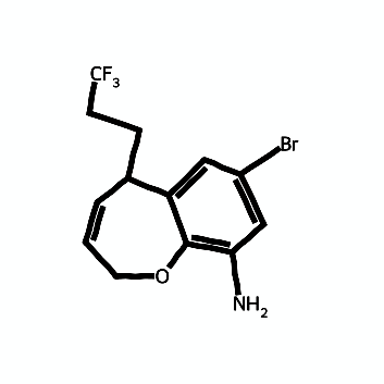 Nc1cc(Br)cc2c1OCC=CC2CCC(F)(F)F